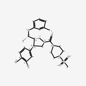 C[C@H](Oc1cccc(F)c1)[C@@H]1CN(C(=O)N2CCN(S(C)(=O)=O)CC2)C[C@H]1c1ccc(Cl)c(Cl)c1